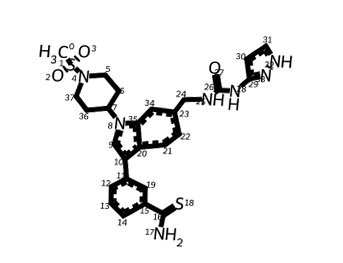 CS(=O)(=O)N1CCC(n2cc(-c3cccc(C(N)=S)c3)c3ccc(CNC(=O)Nc4cc[nH]n4)cc32)CC1